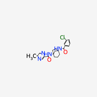 Cc1cnc(C(=O)NC23CCCC(NC(=O)c4cccc(Cl)c4)(CC2)C3)cn1